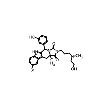 CN(CCO)CCCN1C(=O)N2C(c3cccc(O)c3)c3[nH]c4ccc(Br)cc4c3CC2(C)C1=O